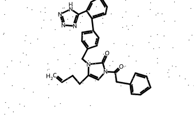 C=CCCc1cn(C(=O)Cc2ccccc2)c(=O)n1Cc1ccc(-c2ccccc2-c2nnn[nH]2)cc1